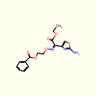 CCOC(=O)C(=NOCCOC(=O)c1ccccc1)c1csc(N)n1